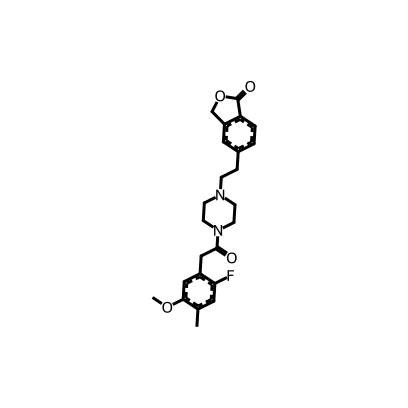 COc1cc(CC(=O)N2CCN(CCc3ccc4c(c3)COC4=O)CC2)c(F)cc1C